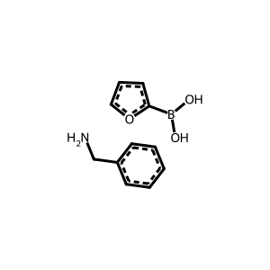 NCc1ccccc1.OB(O)c1ccco1